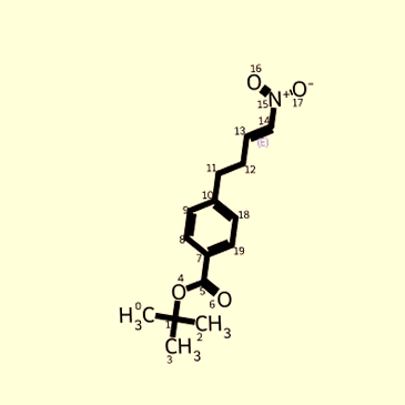 CC(C)(C)OC(=O)c1ccc(CC/C=C/[N+](=O)[O-])cc1